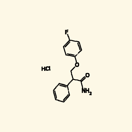 Cl.NC(=O)C(COc1ccc(F)cc1)c1ccccc1